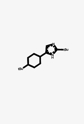 CC(C)(C)c1ncc(C2CCC(C(C)(C)C)CC2)[nH]1